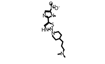 CN(C)CCCC1CCN(N2NC=C(c3ncc([N+](=O)[O-])n3C)S2)CC1